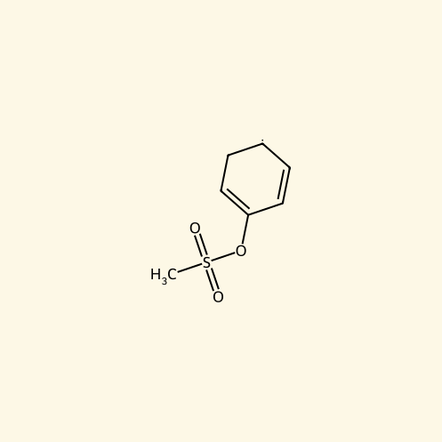 CS(=O)(=O)OC1=CC[CH]C=C1